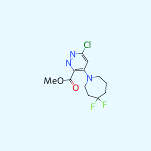 COC(=O)c1nnc(Cl)cc1N1CCCC(F)(F)CC1